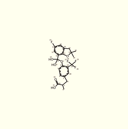 CC(Cc1ccc(OC(O)(O)c2cc(F)cc3c2OC(C)(C)C3)c(C(F)(F)F)c1)C(=O)O